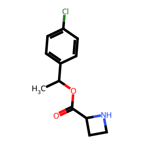 CC(OC(=O)C1CCN1)c1ccc(Cl)cc1